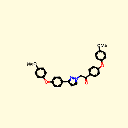 COc1ccc(Oc2ccc(C(=O)Cn3ccc(-c4ccc(Oc5ccc(OC)cc5)cc4)n3)cc2)cc1